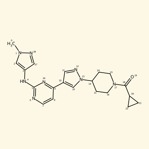 Cn1cc(Nc2nccc(-c3cnn(C4CCN(C(=O)C5CC5)CC4)c3)n2)cn1